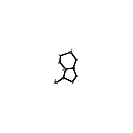 CCC1CCC2COCCN12